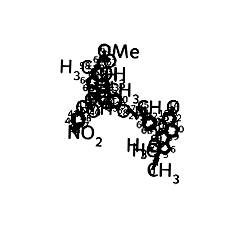 CC#C[C@]1(O)CCC2C3CCC4=CC(=O)CCC4=C3[C@@H](c3ccc(N(C)CCO[C@H]4CC[C@@]5(C)[C@@H](C4)C[C@@H](OC(=O)Oc4ccc([N+](=O)[O-])cc4)[C@@H]4[C@@H]5C[C@H](O)[C@]5(C)C([C@H](C)CCC(=O)OC)CC[C@@H]45)cc3)C[C@@]21C